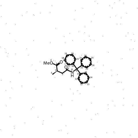 COC(=O)[C@H](C)CC(=O)NC(c1ccccc1)(c1ccccc1)c1ccccc1